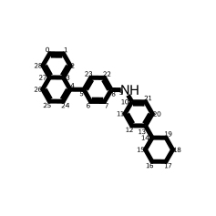 c1ccc2c(-c3ccc(Nc4ccc(C5CCCCC5)cc4)cc3)cccc2c1